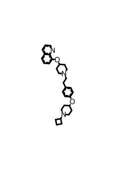 c1cnc2c(OC3CCN(CCc4ccc(OC5CCN(C6CCC6)CC5)cc4)CC3)cccc2c1